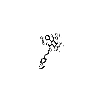 COC(=O)C1=C(C)NC(C)=C(C(=O)OCC=Cc2ccc(-n3ccnc3)cc2)C1c1cccc([N+](=O)[O-])c1